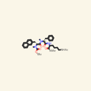 CNC(=O)C(CCCCNC(C)=O)NC(=O)[C@@H](Cc1ccccc1)N(C)C(=O)[C@@H](Cc1ccc2ccccc2c1)N(C)C(=O)OC(C)(C)C